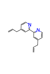 C=CCc1ccnc(-c2cc(CC=C)ccn2)c1